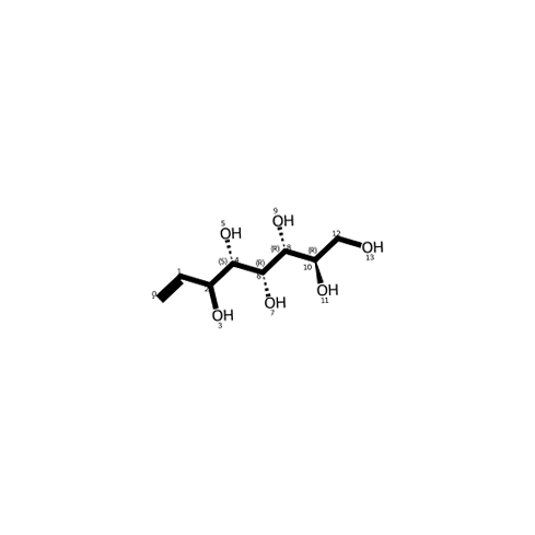 [CH]=CC(O)[C@H](O)[C@@H](O)[C@H](O)[C@H](O)CO